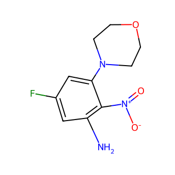 Nc1cc(F)cc(N2CCOCC2)c1[N+](=O)[O-]